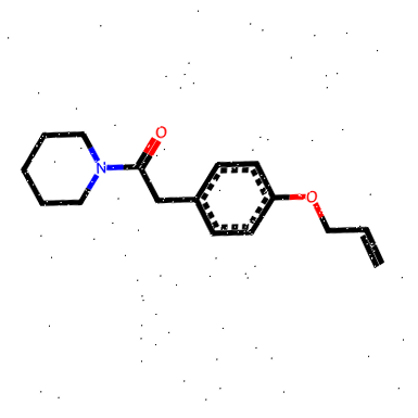 C=CCOc1ccc(CC(=O)N2CCCCC2)cc1